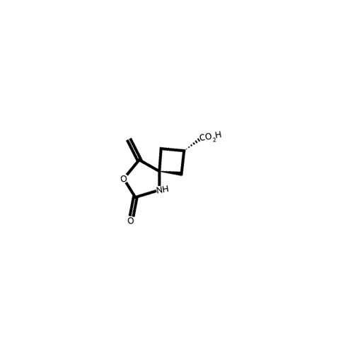 C=C1OC(=O)N[C@]12C[C@@H](C(=O)O)C2